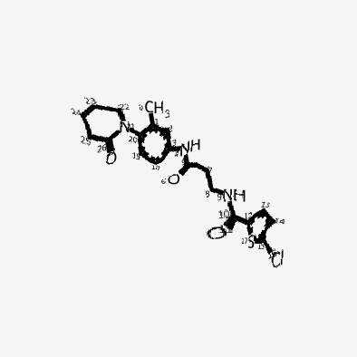 Cc1cc(NC(=O)CCNC(=O)c2ccc(Cl)s2)ccc1N1CCCCC1=O